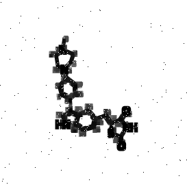 CN1CCN(c2ccc(-c3c[nH]c4ccc(/C=C5\SC(=O)NC5=O)cc34)cc2)CC1